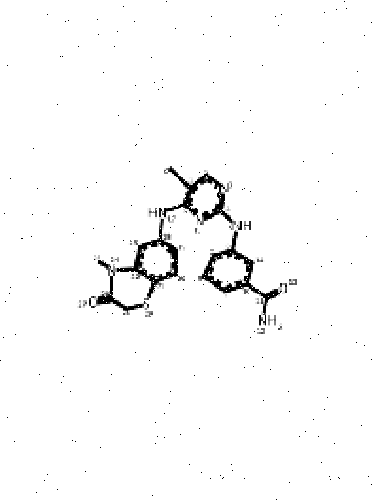 Cc1cnc(Nc2cccc(C(N)=O)c2)nc1Nc1ccc2c(c1)N(C)C(=O)CS2